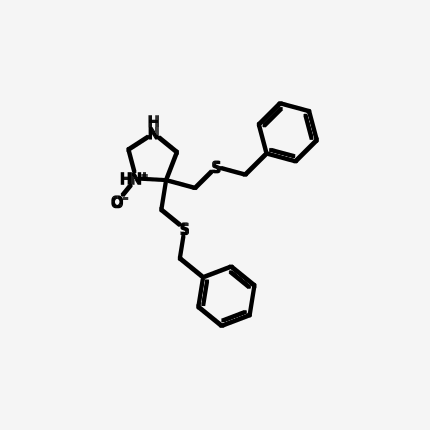 [O-][NH+]1CNCC1(CSCc1ccccc1)CSCc1ccccc1